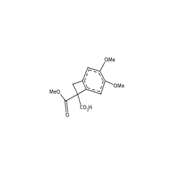 COC(=O)C1(C(=O)O)Cc2cc(OC)c(OC)cc21